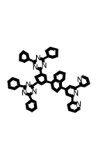 c1ccc(-c2nc(-c3ccccc3)nc(-c3cc(-c4nc(-c5ccccc5)nc(-c5ccccc5)n4)cc(-c4ccc(-c5cc(-c6ccccn6)nc(-c6ccccn6)c5)c5ccccc45)c3)n2)cc1